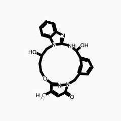 Cc1cc(=O)n2nc1OCCC(O)Cn1c(nc3ccccc31)NC(O)c1cccc(c1)C2